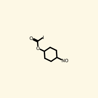 O=NC1CCC(OC(=O)I)CC1